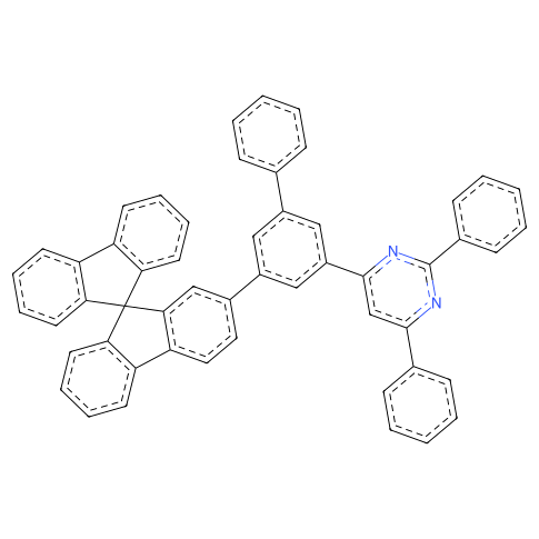 c1ccc(-c2cc(-c3ccc4c(c3)C3(c5ccccc5-c5ccccc53)c3ccccc3-4)cc(-c3cc(-c4ccccc4)nc(-c4ccccc4)n3)c2)cc1